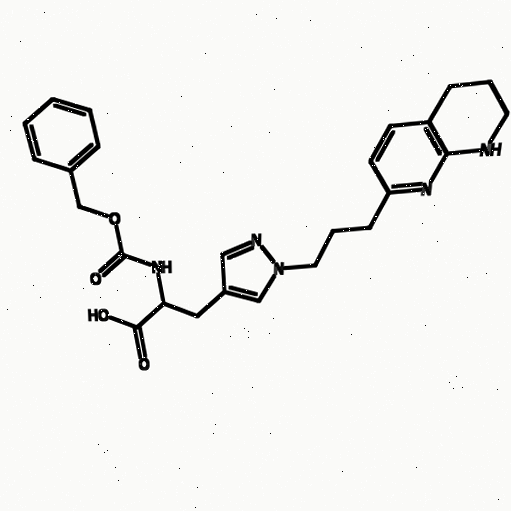 O=C(NC(Cc1cnn(CCCc2ccc3c(n2)NCCC3)c1)C(=O)O)OCc1ccccc1